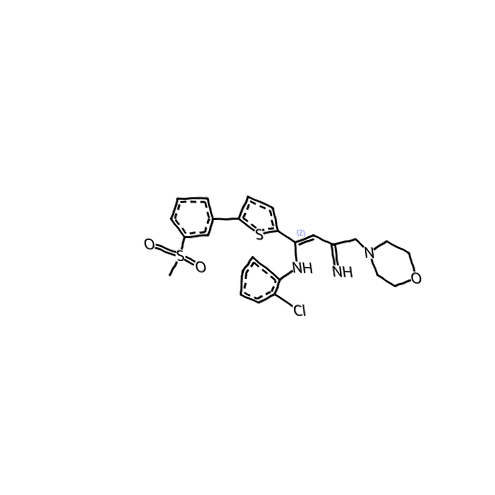 CS(=O)(=O)c1cccc(-c2ccc(/C(=C/C(=N)CN3CCOCC3)Nc3ccccc3Cl)s2)c1